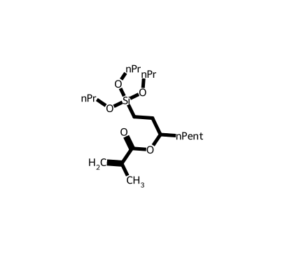 C=C(C)C(=O)OC(CCCCC)CC[Si](OCCC)(OCCC)OCCC